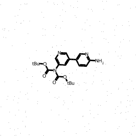 CC(C)(C)OC(=O)N(C(=O)OC(C)(C)C)c1cncc(-c2ccc(N)nc2)c1